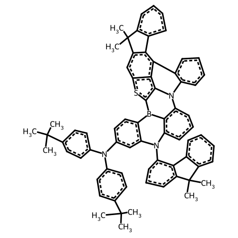 CC(C)(C)c1ccc(N(c2ccc(C(C)(C)C)cc2)c2ccc3c(c2)N(c2cccc4c2-c2ccccc2C4(C)C)c2cccc4c2B3c2sc3cc5c(c6c3c2N4c2ccccc2-6)-c2ccccc2C5(C)C)cc1